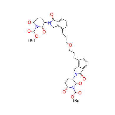 CC(C)(C)OC(=O)N1C(=O)CCC(N2Cc3c(CCCOCCCc4cccc5c4CN(C4CCC(=O)N(C(=O)OC(C)(C)C)C4=O)C5=O)cccc3C2=O)C1=O